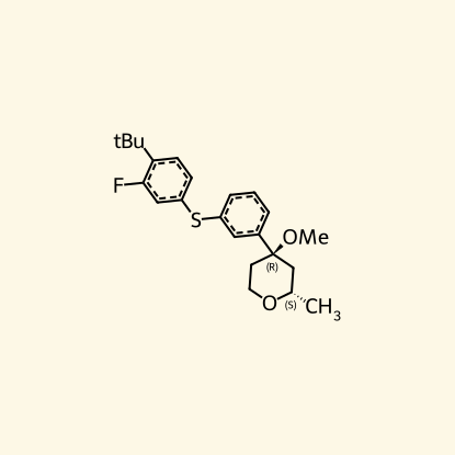 CO[C@]1(c2cccc(Sc3ccc(C(C)(C)C)c(F)c3)c2)CCO[C@@H](C)C1